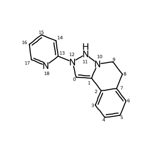 C1=C2c3ccccc3CCN2NN1c1ccccn1